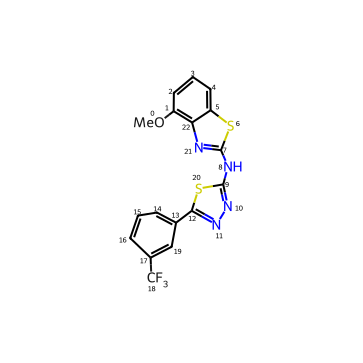 COc1cccc2sc(Nc3nnc(-c4cccc(C(F)(F)F)c4)s3)nc12